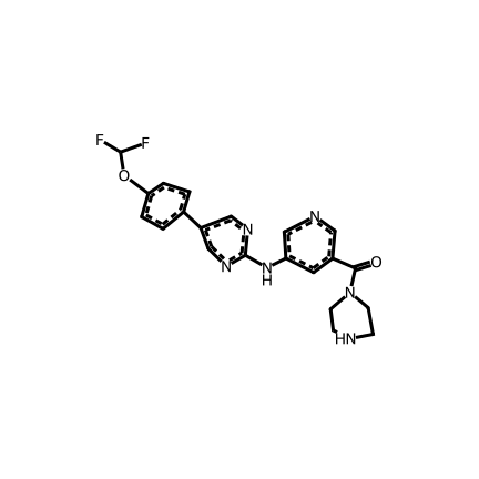 O=C(c1cncc(Nc2ncc(-c3ccc(OC(F)F)cc3)cn2)c1)N1CCNCC1